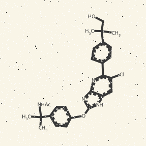 CC(=O)NC(C)(C)c1ccc(Oc2nc3nc(-c4ccc(C(C)(C)CO)cc4)c(Cl)cc3[nH]2)cc1